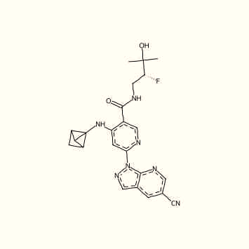 CC(C)(O)[C@H](F)CNC(=O)c1cnc(-n2ncc3cc(C#N)cnc32)cc1NC1C2CC1C2